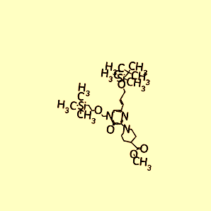 COC(=O)C1CCN(c2nc(/C=C/CO[Si](C)(C)C(C)(C)C)cn(COCC[Si](C)(C)C)c2=O)CC1